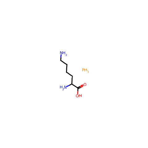 NCCCCC(N)C(=O)O.P